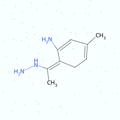 CC1=CC/C(=C(\C)NN)C(N)=C1